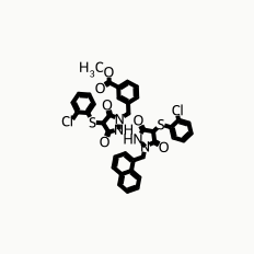 COC(=O)c1cccc(CN2NC(=O)C(Sc3ccccc3Cl)C2=O)c1.O=C1NN(Cc2cccc3ccccc23)C(=O)C1Sc1ccccc1Cl